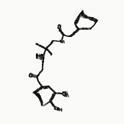 CC(C)(CNC(=O)Cc1ccccc1)NCC(=O)c1ccc(O)c(O)c1